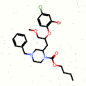 CCCCOC(=O)N1CCN(Cc2ccccc2)CC1CC(COC)Oc1ccc(Cl)cc1Br